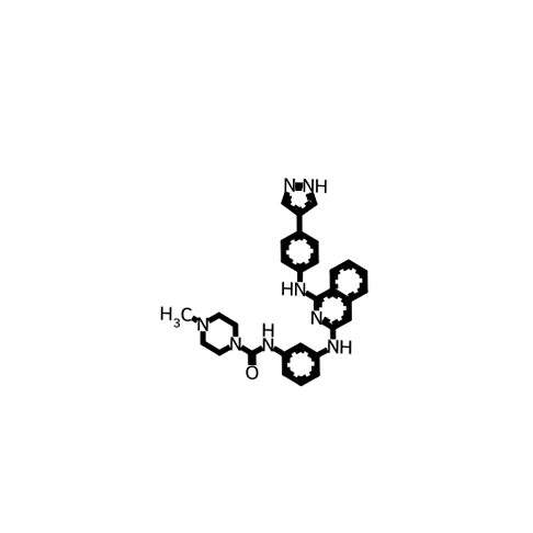 CN1CCN(C(=O)Nc2cccc(Nc3cc4ccccc4c(Nc4ccc(-c5cn[nH]c5)cc4)n3)c2)CC1